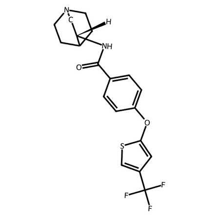 O=C(N[C@H]1CN2CCC1CC2)c1ccc(Oc2cc(C(F)(F)F)cs2)cc1